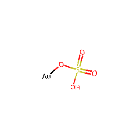 O=S(=O)(O)[O][Au]